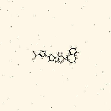 O=C(O)C1(NS(=O)(=O)C2CC=C(c3cc(C(F)F)on3)S2)C2CCCc3ccccc3C21